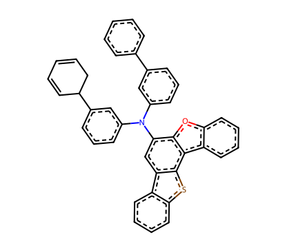 C1=CCC(c2cccc(N(c3cccc(-c4ccccc4)c3)c3cc4c5ccccc5sc4c4c3oc3ccccc34)c2)C=C1